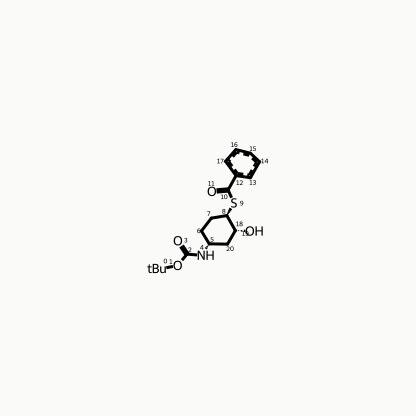 CC(C)(C)OC(=O)N[C@@H]1CC[C@@H](SC(=O)c2ccccc2)[C@H](O)C1